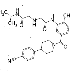 Cc1ccc(C(=O)N2CCC(c3ccc(C#N)cc3)CC2)cc1NC(=O)CNCC(=O)NC(C)C